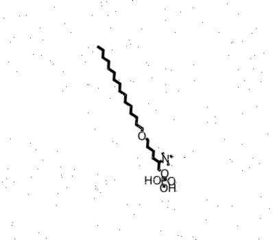 CCCCCCCCCCCCCCCCOCCCCC(COP(=O)(O)O)[N+](C)(C)C